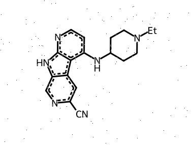 CCN1CCC(Nc2ccnc3[nH]c4cnc(C#N)cc4c23)CC1